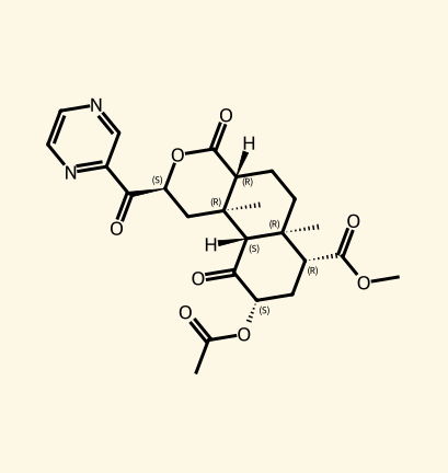 COC(=O)[C@@H]1C[C@H](OC(C)=O)C(=O)[C@H]2[C@@]1(C)CC[C@H]1C(=O)O[C@H](C(=O)c3cnccn3)C[C@]21C